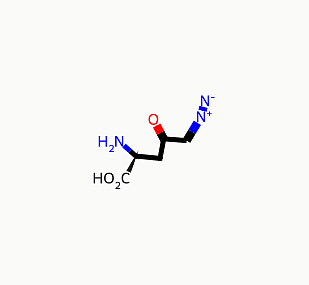 [N-]=[N+]=CC(=O)C[C@H](N)C(=O)O